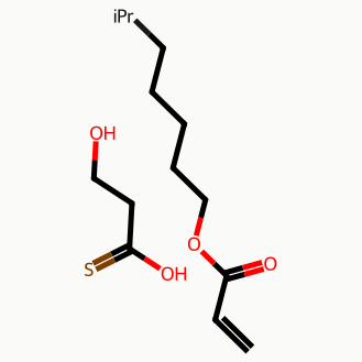 C=CC(=O)OCCCCCC(C)C.OCCC(O)=S